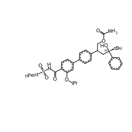 CCCCCS(=O)(=O)NC(=O)c1ccc(-c2ccc(C(COC(N)=O)C[C@](O)(c3ccccc3)C(C)(C)C)cc2)cc1OC(C)C